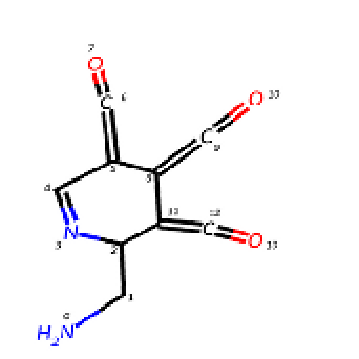 NCC1N=CC(=C=O)C(=C=O)C1=C=O